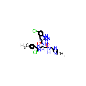 Cc1ccc(-c2nc([C@H](CC(=O)NCc3cnc(C)cn3)NC(=O)/C=C/c3cc(Cl)ccc3-n3cnnn3)[nH]c2Cl)cc1